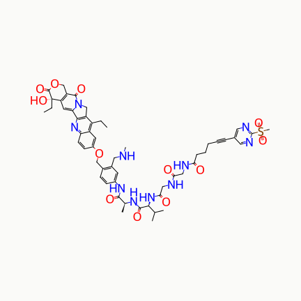 CCc1c2c(nc3ccc(OCc4ccc(NC(=O)[C@H](C)NC(=O)[C@@H](NC(=O)CNC(=O)CNC(=O)CCCC#Cc5cnc(S(C)(=O)=O)nc5)C(C)C)cc4CNC)cc13)-c1cc3c(c(=O)n1C2)COC(=O)[C@]3(O)CC